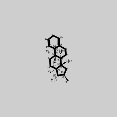 CC[C@H]1[C@H](C)C[C@H]2[C@@H]3CCC4=CCC=C[C@]4(C)[C@@]3(F)CC[C@]12C